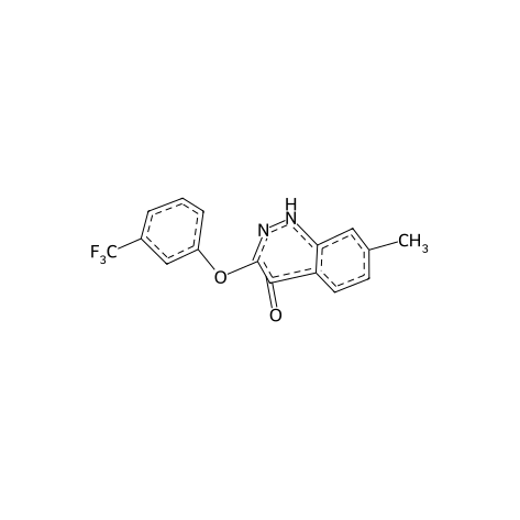 Cc1ccc2c(=O)c(Oc3cccc(C(F)(F)F)c3)n[nH]c2c1